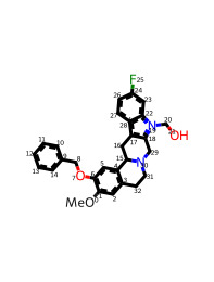 COc1cc2c(cc1OCc1ccccc1)C1Cc3c(n(CO)c4cc(F)ccc34)CN1CC2